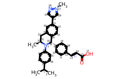 CC(C)c1ccc(N2[C@@H](c3ccc(/C=C/C(=O)O)cc3)c3ccc(-c4cnn(C)c4)cc3C[C@@H]2C)cc1